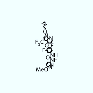 COc1ccc(NC(=O)Nc2cc(F)c(Oc3ccnc4c3c(C(F)(F)F)cn4COCC[Si](C)(C)C)c(F)c2)nn1